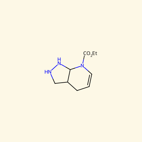 CCOC(=O)N1C=CCC2CNNC21